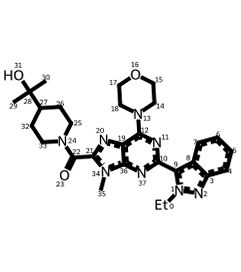 CCn1nc2ccccc2c1-c1nc(N2CCOCC2)c2nc(C(=O)N3CCC(C(C)(C)O)CC3)n(C)c2n1